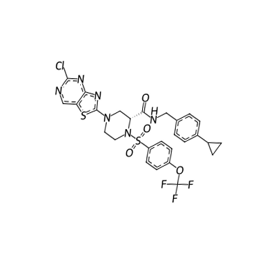 O=C(NCc1ccc(C2CC2)cc1)[C@H]1CN(c2nc3nc(Cl)ncc3s2)CCN1S(=O)(=O)c1ccc(OC(F)(F)F)cc1